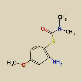 COc1ccc(SC(=O)N(C)C)c(N)c1